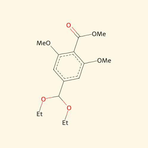 CCOC(OCC)c1cc(OC)c(C(=O)OC)c(OC)c1